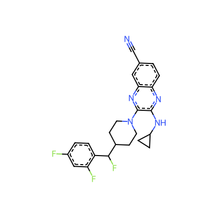 N#Cc1ccc2nc(NC3CC3)c(N3CCC(C(F)c4ccc(F)cc4F)CC3)nc2c1